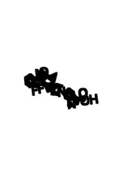 Cn1cc(C(=O)O)c2ccc(N3CCC4(CC3)CC(=Cc3c(-c5ccccc5C(F)(F)F)noc3C3CC3)C4)cc21